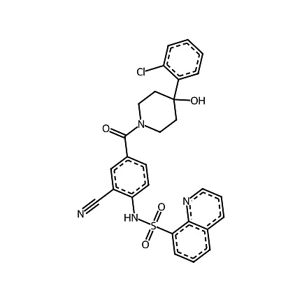 N#Cc1cc(C(=O)N2CCC(O)(c3ccccc3Cl)CC2)ccc1NS(=O)(=O)c1cccc2cccnc12